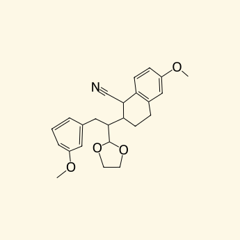 COc1cccc(CC(C2OCCO2)C2CCc3cc(OC)ccc3C2C#N)c1